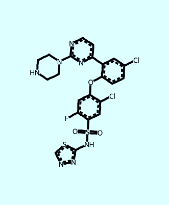 O=S(=O)(Nc1nncs1)c1cc(Cl)c(Oc2ccc(Cl)cc2-c2ccnc(N3CCNCC3)n2)cc1F